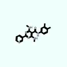 CNc1nc(-c2cccnc2)nc(NC)c1C(=O)Nc1ccc(C)c(C)c1